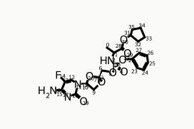 CC(N[P@](=O)(OC[C@H]1OC[C@@H](n2cc(F)c(N)nc2=O)O1)Oc1ccccc1)C(=O)OC1CCCC1